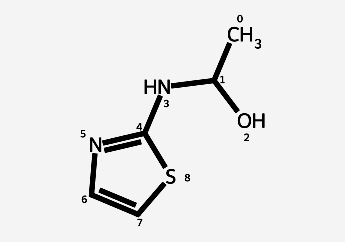 CC(O)Nc1nccs1